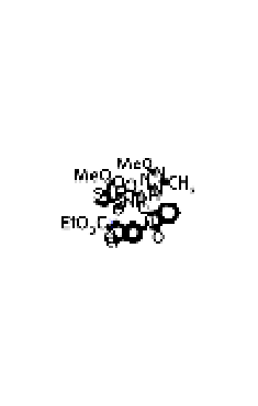 CCOC(=O)/C(Cl)=C/c1cc(N2C(=O)C3=C(CCCC3)C2=O)ccc1Cl.COC(=O)c1sccc1S(=O)(=O)NC(=O)Nc1nc(C)nc(OC)n1